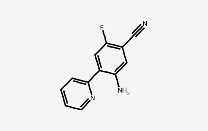 N#Cc1cc(N)c(-c2ccccn2)cc1F